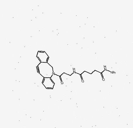 CCCNC(=O)CCCC(=O)NCCC(=O)N1Cc2ccccc2C#Cc2ccccc21